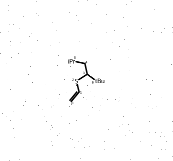 C=CSC(CC(C)C)C(C)(C)C